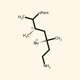 CCCCCC(C)[C@@H](C)CC(C)(CCN)[C@@H](C)CC